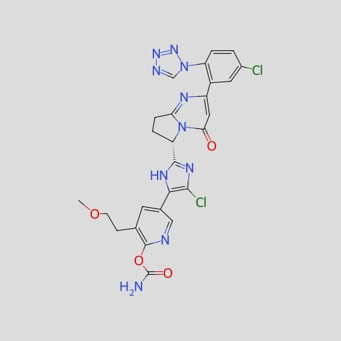 COCCc1cc(-c2[nH]c([C@@H]3CCc4nc(-c5cc(Cl)ccc5-n5cnnn5)cc(=O)n43)nc2Cl)cnc1OC(N)=O